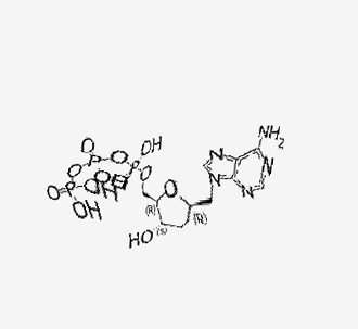 Nc1ncnc2c1ncn2C[C@H]1C[C@H](O)[C@@H](COP(=O)(O)OP(=O)(O)OP(=O)(O)O)O1